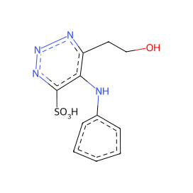 O=S(=O)(O)c1nnnc(CCO)c1Nc1ccccc1